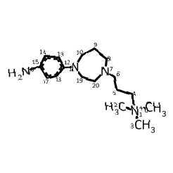 C[N+](C)(C)CCCN1CCCN(c2ccc(N)cc2)CC1